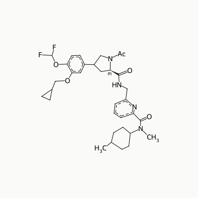 CC(=O)N1CC(c2ccc(OC(F)F)c(OCC3CC3)c2)C[C@@H]1C(=O)NCc1cccc(C(=O)N(C)C2CCC(C)CC2)n1